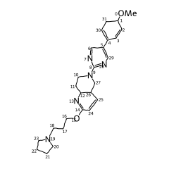 COC1C=CC(c2cnc(N3CCC4N=C(OCCCN5CCCC5)C=CC4C3)nc2)=CC1